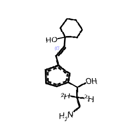 [2H]C([2H])(CN)C(O)c1cccc(/C=C/C2(O)CCCCC2)c1